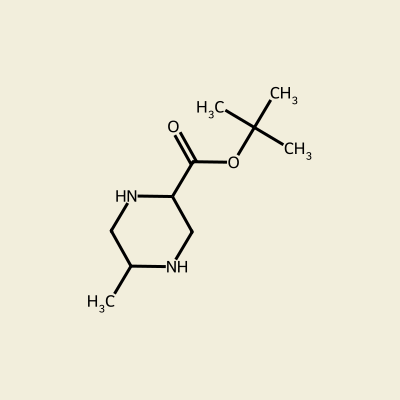 CC1CNC(C(=O)OC(C)(C)C)CN1